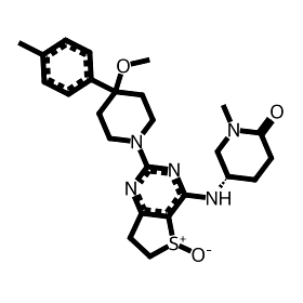 COC1(c2ccc(C)cc2)CCN(c2nc3c(c(N[C@H]4CCC(=O)N(C)C4)n2)[S+]([O-])CC3)CC1